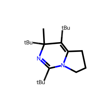 CC(C)(C)C1=NC(C)(C(C)(C)C)C(C(C)(C)C)=C2CCCN12